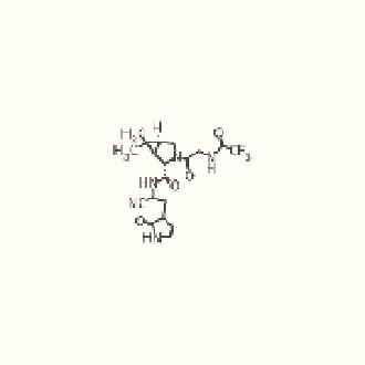 CC1(C)C2[C@@H](C(=O)NC(C#N)CC3CCNC3=O)N(C(=O)CNC(=O)C(F)(F)F)C[C@@H]21